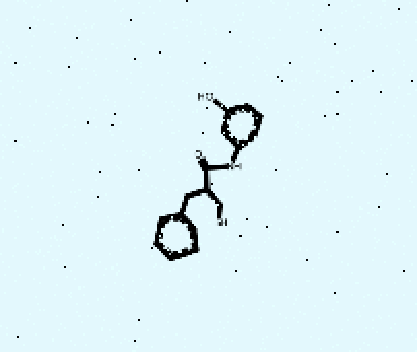 O=C(Nc1cccc(O)c1)C(CS)Cc1ccccc1